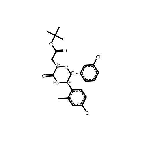 CC(C)(C)OC(=O)C[C@H]1O[C@H](c2cccc(Cl)c2)[C@@H](c2ccc(Cl)cc2F)NC1=O